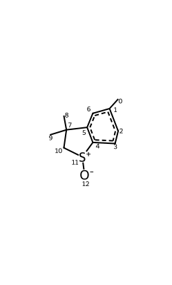 Cc1ccc2c(c1)C(C)(C)C[S+]2[O-]